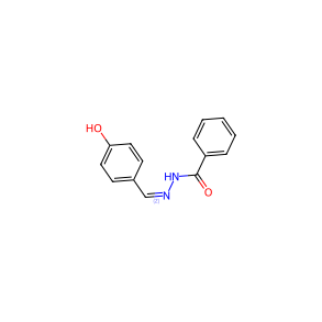 O=C(N/N=C\c1ccc(O)cc1)c1ccccc1